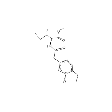 CC[C@H](C)[C@H](NC(=O)Cc1ccc(OC)c(Cl)c1)C(=O)OC